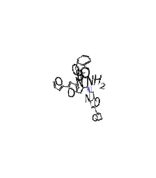 N/C(=C1\C=c2oc(-c3ccco3)cc2=N1)c1cc2oc(-c3ccco3)cc2n1B1Oc2ccccc2O1